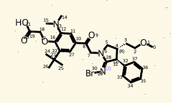 COCC[C@H]1CN(CC(=O)c2cc(N(C)C)c(OCC(=O)O)c(C(C)(C)C)c2)/C(=N\Br)[C@@H]1c1ccccc1